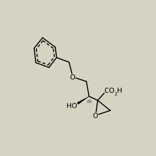 O=C(O)C1([C@@H](O)COCc2ccccc2)CO1